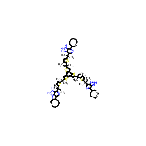 CCC(C)(C1=NC=C(C2CCCCCCCC2)C2NNNC12)c1ccc(C(C)(C)c2cc3c(s2)c2cc(C(C)(CC)c4ccc(C(C)(CC)c5cnc(C6CCCCCCCC6)c6n[nH]nc56)s4)sc2c2cc(C(C)(CC)c4ccc(C(C)(C)C5=CN=C(C6CCCCCCCC6)C6NNNC56)s4)sc32)s1